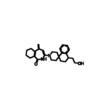 C=C1C=C(N2CCC3(CCC(CCO)c4ccccc43)CC2)NC(=O)C2=C1CCCC2